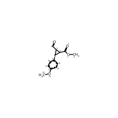 COC(=O)C1C(C=O)[C@@H]1c1ccc(OC)cc1